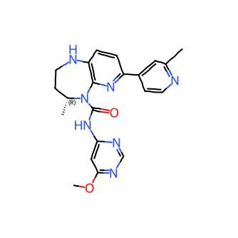 COc1cc(NC(=O)N2c3nc(-c4ccnc(C)c4)ccc3NCC[C@H]2C)ncn1